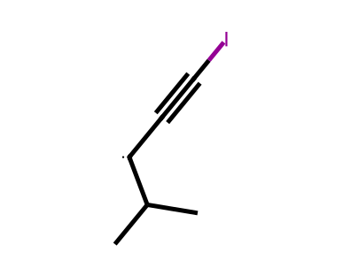 CC(C)[CH]C#CI